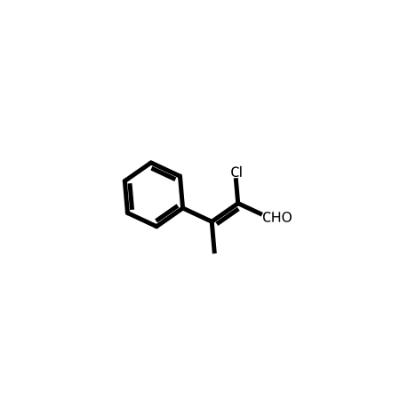 CC(=C(Cl)C=O)c1ccccc1